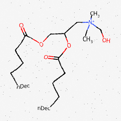 CCCCCCCCCCCCCC(=O)OCC(C[N+](C)(C)CO)OC(=O)CCCCCCCCCCCCC